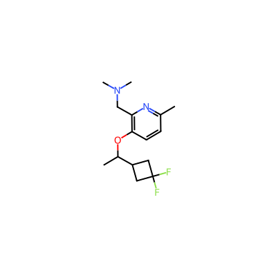 Cc1ccc(OC(C)C2CC(F)(F)C2)c(CN(C)C)n1